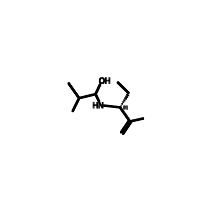 C=C(C)[C@@H](CC)NC(O)C(C)C